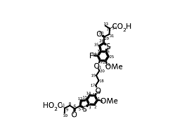 COc1cc2sc(C(=O)C[C@H](C)C(=O)O)cc2cc1OCCCCOc1c(OC)cc2sc(C(=O)C[C@H](C)C(=O)O)cc2c1F